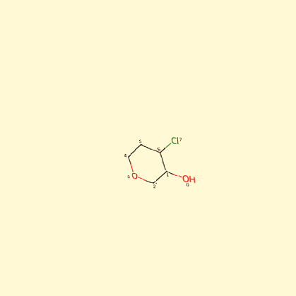 OC1[CH]OCCC1Cl